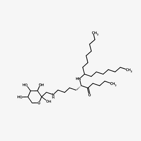 CCCCCCCC(CCCCCCC)N[C@@H](CCCCNCC1(O)OCC(O)C(O)C1O)C(=O)CCCC